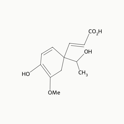 COC1=C(O)C=CC(C=CC(=O)O)(C(C)O)C1